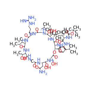 CC[C@H](C)C1NC(=O)[C@@H](CCCNC(=N)N)NC(=O)[C@H](CC(C)C)NC(=O)[C@H]([C@H](O)C(C)C)NC(=O)[C@@H](NC(=O)[C@H](CC(C)C)NC(=O)[C@H](NC(=O)OC(C)(C)C)[C@@H](C)CC)[C@@H](c2ccccc2)OC(=O)[C@H](CO)NC(=O)[C@H]([C@H](O)C(N)=O)NC(=O)CNC(=O)C([C@H](C)O)NC1=O